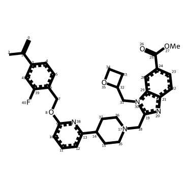 C=C(C)c1ccc(COc2cccc(C3CCN(Cc4nc5ccc(C(=O)OC)cc5n4CC4CCO4)CC3)n2)c(F)c1